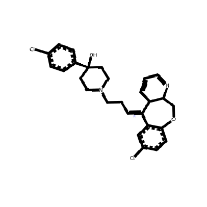 OC1(c2ccc(Cl)cc2)CCN(CC/C=C2/c3cc(Cl)ccc3OCC3N=CC=CC23)CC1